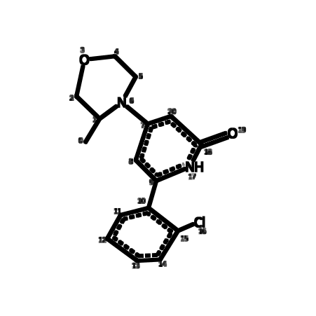 CC1COCCN1c1cc(-c2ccccc2Cl)[nH]c(=O)c1